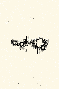 O=S1(=O)NCCCNc2nc(ncc2CCNS(=O)(=O)c2ccc(CN3CCOCC3)c(C(F)(F)F)c2)Nc2cccc1c2